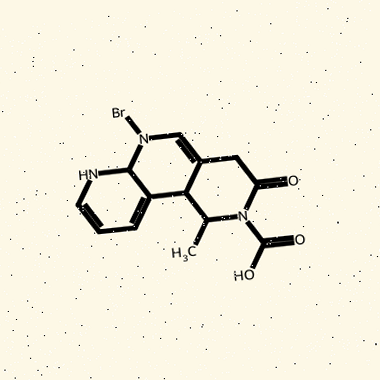 CC1C2C(=CN(Br)C3NC=CC=C23)CC(=O)N1C(=O)O